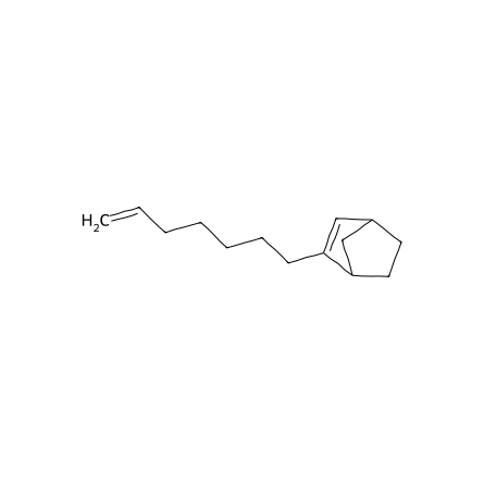 C=CCCCCCC1=CC2CCC1C2